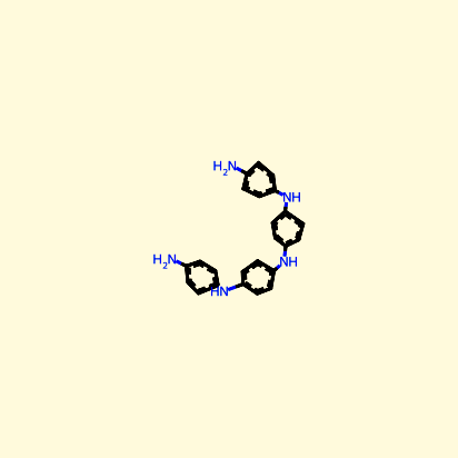 Nc1ccc(Nc2ccc(Nc3ccc(Nc4ccc(N)cc4)cc3)cc2)cc1